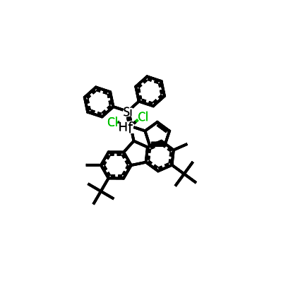 Cc1cc2c(cc1C(C)(C)C)-c1cc(C(C)(C)C)c(C)cc1[CH]2[Hf]([Cl])([Cl])([CH]1C=CC=C1)=[Si](c1ccccc1)c1ccccc1